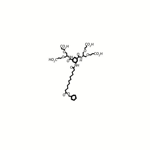 O=C(O)CCOCC(COCCC(=O)O)NC(=O)c1cc(NC(=O)CCCCCCCCCCC(=O)OCc2ccccc2)cc(C(=O)NC(COCCC(=O)O)COCCC(=O)O)c1